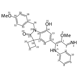 CO/C(C=N)=C(/Nc1ccccc1)c1cc(O)c2c(c1)C1(CCC1)C(=O)N2Cc1ccc(OC)cc1